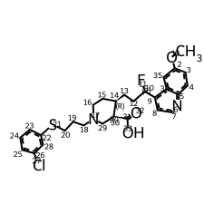 COc1ccc2nccc([C@H](F)CC[C@@H]3CCN(CCCSc4cccc(Cl)c4)C[C@@H]3C(=O)O)c2c1